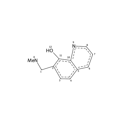 CNCc1ccc2cccnc2c1O